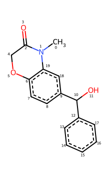 CN1C(=O)COc2ccc(C(O)c3ccccc3)cc21